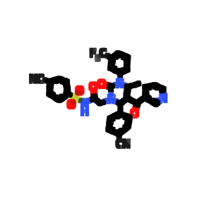 CC1=C(C(=O)c2cccnc2)C(c2ccc(C#N)cc2)N(CC(=O)NS(=O)(=O)c2ccc(C#N)cc2)C(=O)N1c1cccc(C(F)(F)F)c1